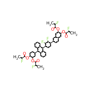 C=C(F)C(=O)Oc1ccc(-c2c3ccccc3c(-c3ccc(-c4ccc5cc(OC(=O)C(=C)F)c(OC(=O)C(=C)F)cc5c4)c(F)c3F)c3ccccc23)cc1OC(=O)C(=C)F